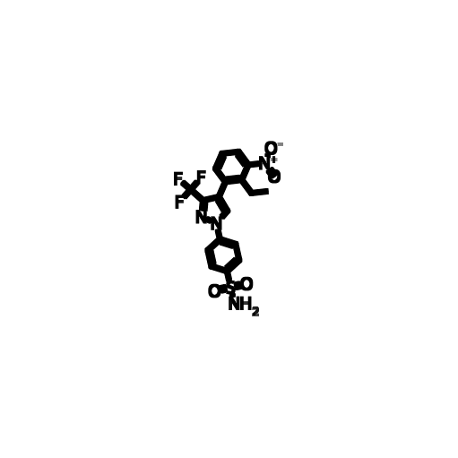 CCc1c(-c2cn(-c3ccc(S(N)(=O)=O)cc3)nc2C(F)(F)F)cccc1[N+](=O)[O-]